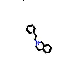 c1ccc(CCN2CCc3ccccc3C2)cc1